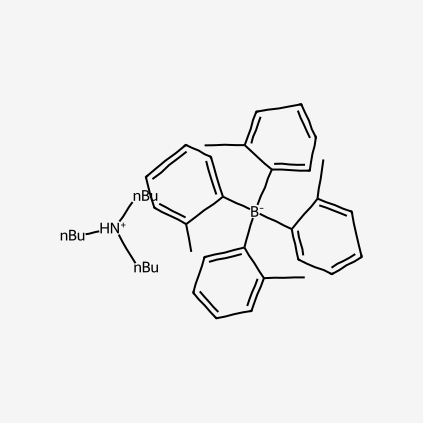 CCCC[NH+](CCCC)CCCC.Cc1ccccc1[B-](c1ccccc1C)(c1ccccc1C)c1ccccc1C